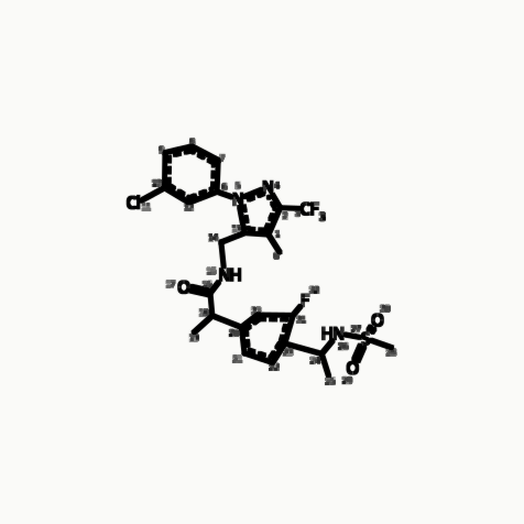 Cc1c(C(F)(F)F)nn(-c2cccc(Cl)c2)c1CNC(=O)C(C)c1ccc(C(C)NS(C)(=O)=O)c(F)c1